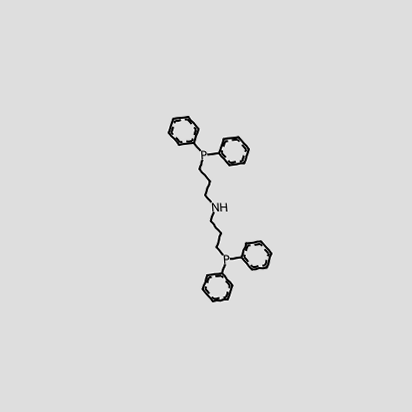 c1ccc(P(CCCNCCCP(c2ccccc2)c2ccccc2)c2ccccc2)cc1